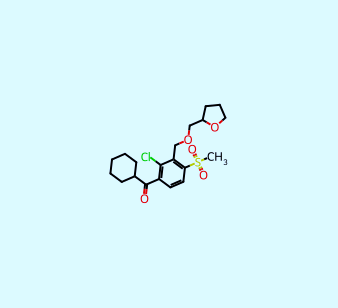 CS(=O)(=O)c1ccc(C(=O)C2CCCCC2)c(Cl)c1COCC1CCCO1